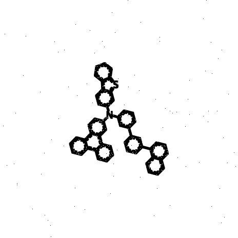 c1cc(-c2cccc(N(c3ccc4c(c3)sc3ccccc34)c3ccc4c5ccccc5c5ccccc5c4c3)c2)cc(-c2cccc3ccccc23)c1